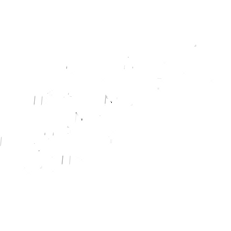 CC1=CN(CC(=O)OCc2ccccc2)C(=O)N(C(=O)OC(C)(C)C)C1O